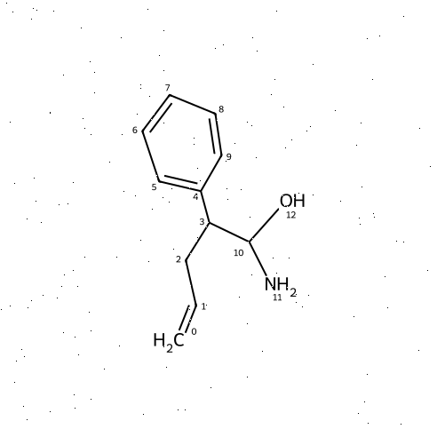 C=CCC(c1ccccc1)C(N)O